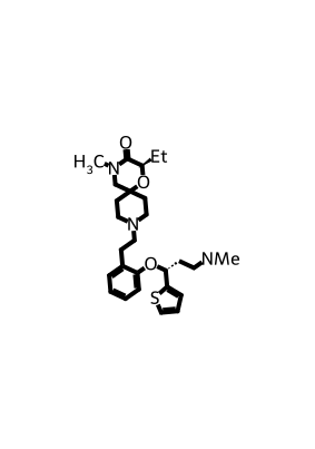 CC[C@H]1OC2(CCN(CCc3ccccc3O[C@H](CCNC)c3cccs3)CC2)CN(C)C1=O